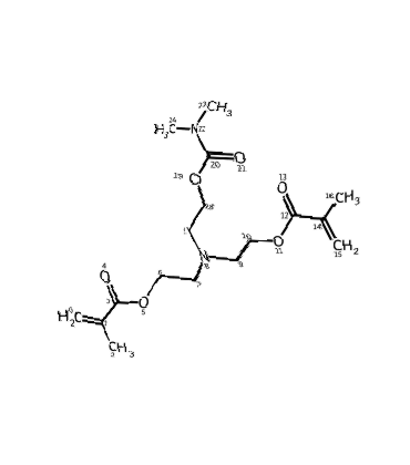 C=C(C)C(=O)OCCN(CCOC(=O)C(=C)C)CCOC(=O)N(C)C